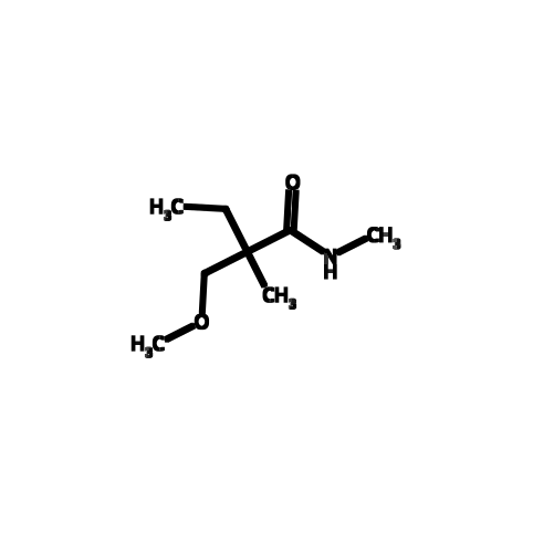 CCC(C)(COC)C(=O)NC